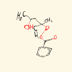 CC(O)CC(C)(C)OOC(=O)c1ccccc1